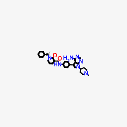 C[C@@H](c1ccccc1)n1cccc(C(=O)Nc2ccc(-c3cn(C4CCN(C)CC4)c4ncnc(N)c34)cc2)c1=O